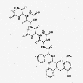 COc1ccc(O)c(CN(c2ncccn2)C(O)C(=O)NC(C(=O)NC(NC(=N)N)C(=O)NC(NC(=N)N)C(=O)NC(NC(=N)N)C(=O)NC(NC(=N)N)C(N)=O)c2ccccc2)c1